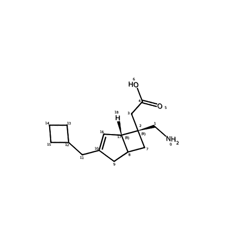 NC[C@@]1(CC(=O)O)CC2CC(CC3CCC3)=C[C@@H]21